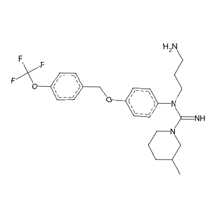 CC1CCCN(C(=N)N(CCCN)c2ccc(OCc3ccc(OC(F)(F)F)cc3)cc2)C1